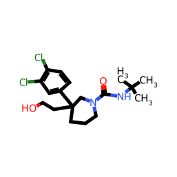 CC(C)(C)NC(=O)N1CCCC(CCO)(c2ccc(Cl)c(Cl)c2)C1